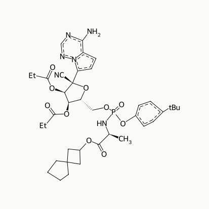 CCC(=O)O[C@H]1[C@@H](OC(=O)CC)[C@](C#N)(c2ccc3c(N)ncnn23)O[C@@H]1COP(=O)(N[C@@H](C)C(=O)OC1CC2(CCCC2)C1)Oc1ccc(C(C)(C)C)cc1